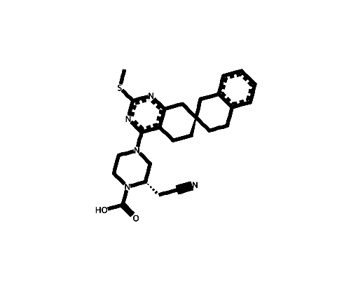 CSc1nc2c(c(N3CCN(C(=O)O)[C@@H](CC#N)C3)n1)CC[C@@]1(CCc3ccccc3C1)C2